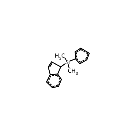 C[Si](C)(c1ccccc1)C1C=Cc2ccccc21